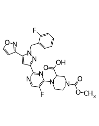 COC(=O)N1CCN(c2nc(-c3cc(-c4ccon4)n(Cc4ccccc4F)n3)ncc2F)C(C(=O)O)C1